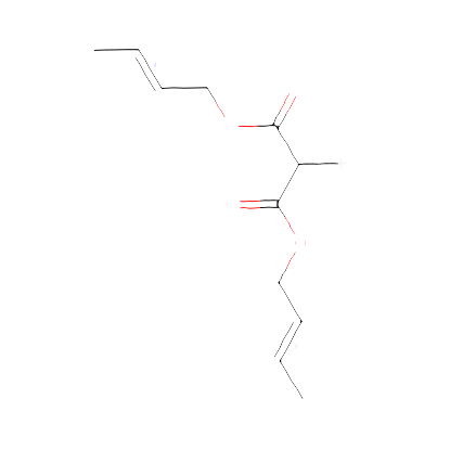 C/C=C/COC(=O)C(CC)C(=O)OC/C=C/C